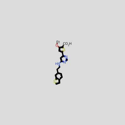 CCOc1cc(-c2cc(NCCc3ccc4ccsc4c3)ncn2)sc1C(=O)O